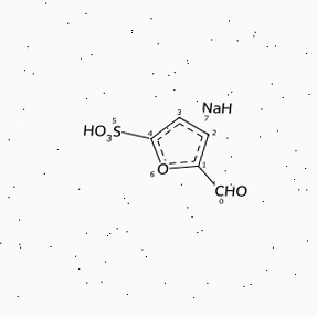 O=Cc1ccc(S(=O)(=O)O)o1.[NaH]